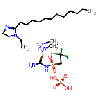 CCCCCCCCCCCCC1=NCCN1CC.CN.CN.NC(=S)NS(=O)(=O)CC(F)(F)F.O=S(=O)(O)O